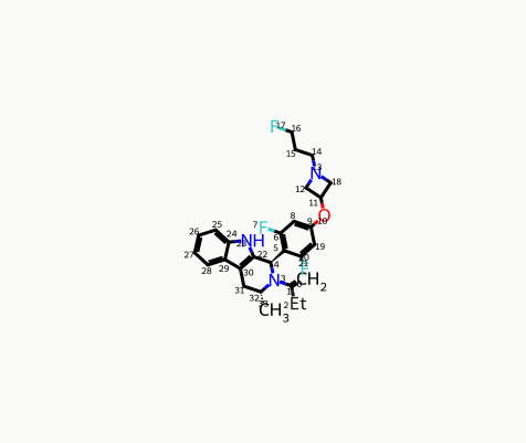 C=C(CC)N1[C@H](c2c(F)cc(OC3CN(CCCF)C3)cc2F)c2[nH]c3ccccc3c2C[C@H]1C